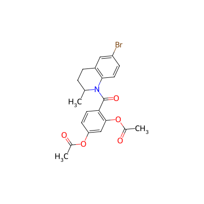 CC(=O)Oc1ccc(C(=O)N2c3ccc(Br)cc3CCC2C)c(OC(C)=O)c1